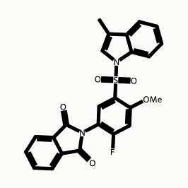 COc1cc(F)c(N2C(=O)c3ccccc3C2=O)cc1S(=O)(=O)n1cc(C)c2ccccc21